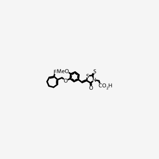 COc1ccc(/C=C2\SC(=S)N(CC(=O)O)C2=O)cc1OCC1=CCCCC=C1F